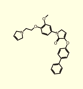 COc1cc(N2CC=C(Oc3ccc(-c4ccccc4)cc3)C2=O)ccc1OCCN1CC=CC1